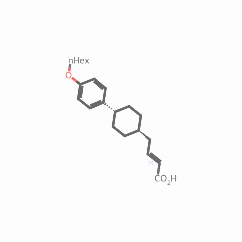 CCCCCCOc1ccc([C@H]2CC[C@H](C/C=C/C(=O)O)CC2)cc1